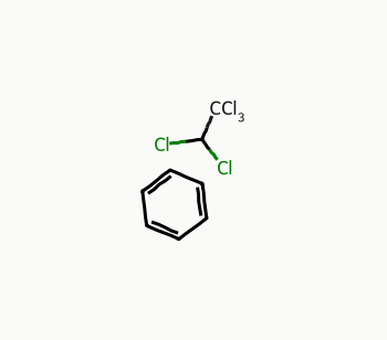 ClC(Cl)C(Cl)(Cl)Cl.c1ccccc1